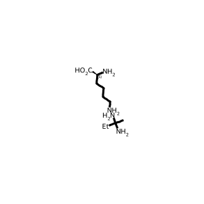 CCC(C)(N)N.NCCCC[C@H](N)C(=O)O